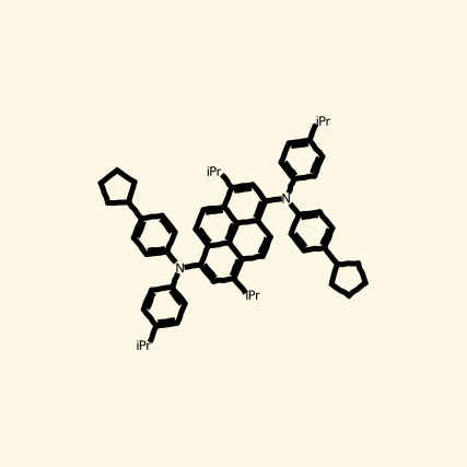 CC(C)c1ccc(N(c2ccc(C3CCCC3)cc2)c2cc(C(C)C)c3ccc4c(N(c5ccc(C(C)C)cc5)c5ccc(C6CCCC6)cc5)cc(C(C)C)c5ccc2c3c54)cc1